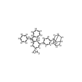 Cc1cc(-c2ccc(C34CC5CC(CC(C5)C3)C4)cc2)c2c3ccccc3n(-c3ccccc3)c2c1